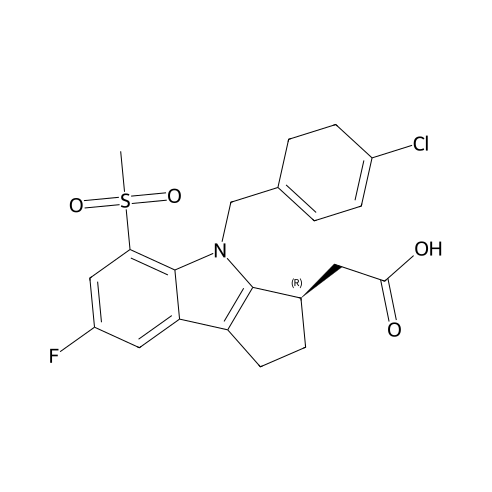 CS(=O)(=O)c1cc(F)cc2c3c(n(CC4=CC=C(Cl)CC4)c12)[C@@H](CC(=O)O)CC3